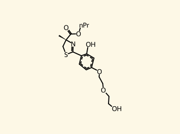 CCCOC(=O)[C@@]1(C)CSC(c2ccc(OCCOCCO)cc2O)=N1